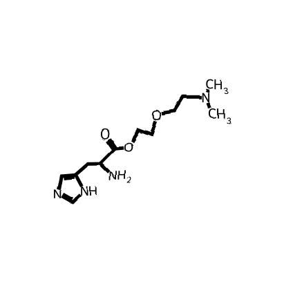 CN(C)CCOCCOC(=O)C(N)Cc1cnc[nH]1